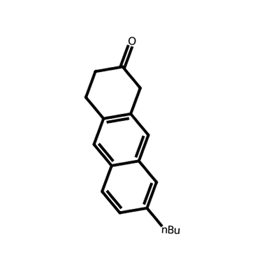 CCCCc1ccc2cc3c(cc2c1)CC(=O)CC3